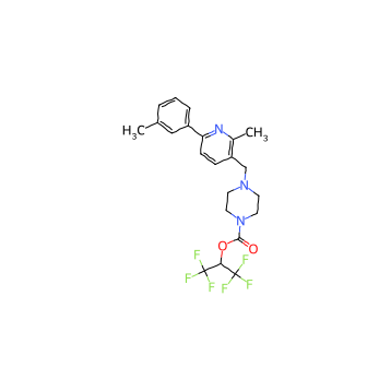 Cc1cccc(-c2ccc(CN3CCN(C(=O)OC(C(F)(F)F)C(F)(F)F)CC3)c(C)n2)c1